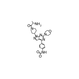 COC(=O)Nc1ccc(-c2nc(N3CCOCC3)nc3c2cnn3C2CCN(C(=O)C(C)N)CC2)cc1